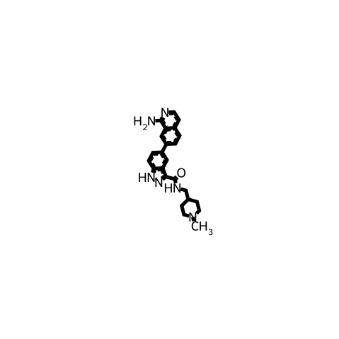 CN1CCC(CNC(=O)c2n[nH]c3ccc(-c4ccc5ccnc(N)c5c4)cc23)CC1